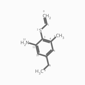 C=CSc1c(C)cc(CC)cc1N